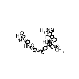 CN/C=C(\C=N)c1cc2c(cc1C(F)F)N(C(N)C1=C(NC3CCN(C(=O)CCN4CCN(CC(=O)Nc5cccc(NC6CCC(=O)NC6=O)c5)CC4)CC3)CCN(C(C)=O)C1)CCC2